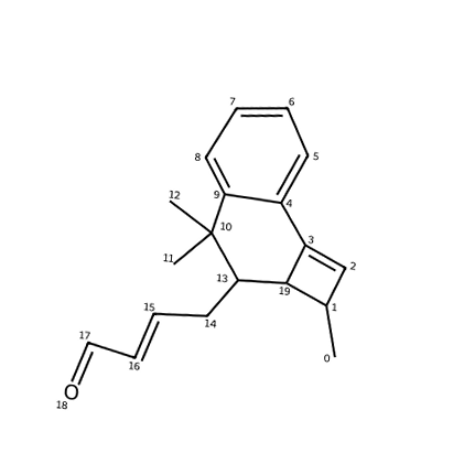 CC1C=C2c3ccccc3C(C)(C)C(C/C=C/C=O)C21